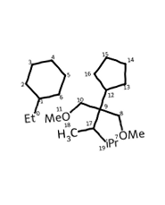 CC[C]1CCCCC1.COCC(COC)(C1CCCC1)C(C)C(C)C